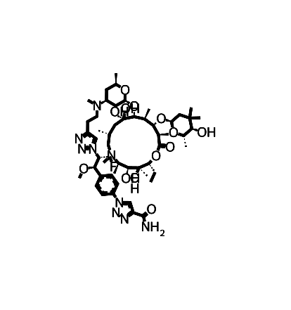 CC[C@H]1OC(=O)[C@H](C)[C@@H](O[C@H]2CC(C)(C)[C@@H](O)[C@H](C)O2)[C@H](C)[C@@H](O[C@@H]2O[C@H](C)C[C@H](N(C)CCc3cn([C@H](CF)[C@H](OC)c4ccc(-n5cc(C(N)=O)nn5)cc4)nn3)[C@H]2O)[C@](C)(O)C[C@@H](C)CN(C)[C@H](C)[C@@H](O)[C@]1(C)O